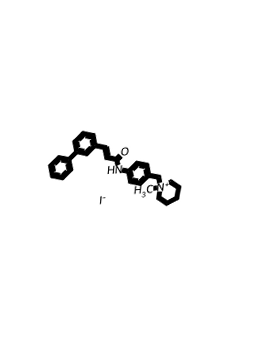 C[N+]1(Cc2ccc(NC(=O)C=Cc3cccc(-c4ccccc4)c3)cc2)CCCCC1.[I-]